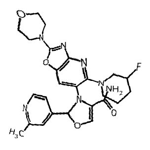 Cc1cc(C2OC=C(C(N)=O)N2c2cc3oc(N4CCOCC4)nc3nc2N2CCCC(F)C2)ccn1